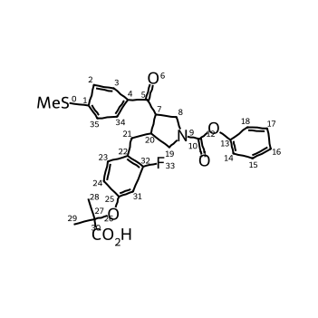 CSc1ccc(C(=O)C2CN(C(=O)Oc3ccccc3)CC2Cc2ccc(OC(C)(C)C(=O)O)cc2F)cc1